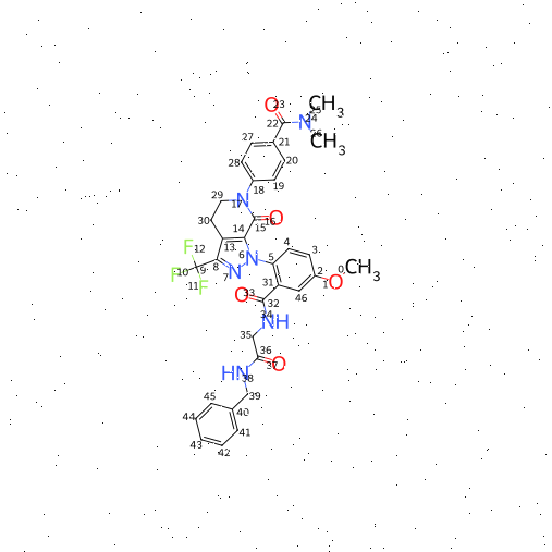 COc1ccc(-n2nc(C(F)(F)F)c3c2C(=O)N(c2ccc(C(=O)N(C)C)cc2)CC3)c(C(=O)NCC(=O)NCc2ccccc2)c1